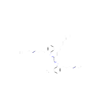 CC/C=C/CCCc1ccccc1/N=C/C(CCCCCCCC)=N/c1ccccc1CCC/C=C/CC.[Ni]